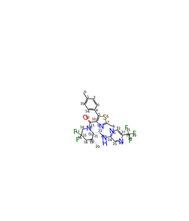 Cc1ccc(-c2sc(C)nc2C(=O)N2CC(F)(F)C[C@@H](C)[C@H]2CNc2cnc(C(F)(F)F)cn2)cc1